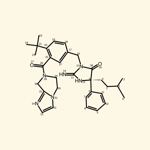 CC(C)CC[C@]1(c2ccccc2)NC(=N)N(Cc2ccc(C(C)(C)C)c(C(=O)N3CCn4ccnc4C3)c2)C1=O